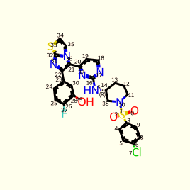 O=S(=O)(c1ccc(Cl)cc1)N1CCC[C@@H](Nc2nccc(-c3c(-c4ccc(F)c(O)c4)nc4sccn34)n2)C1